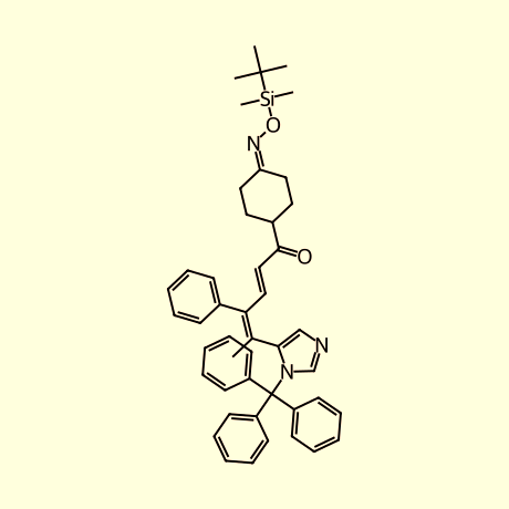 C/C(=C(/C=C/C(=O)C1CCC(=NO[Si](C)(C)C(C)(C)C)CC1)c1ccccc1)c1cncn1C(c1ccccc1)(c1ccccc1)c1ccccc1